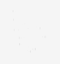 CCC(CC)(Pc1ccccc1C(C)S)c1cc(C)cc(C(C)(C)C)c1O